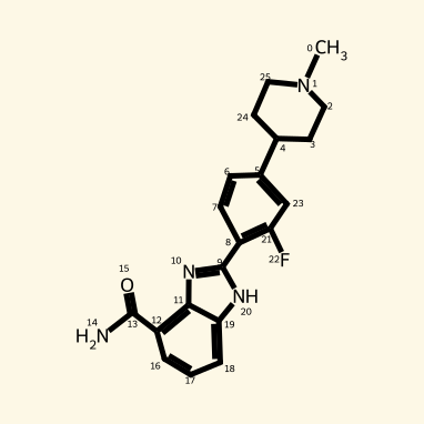 CN1CCC(c2ccc(-c3nc4c(C(N)=O)cccc4[nH]3)c(F)c2)CC1